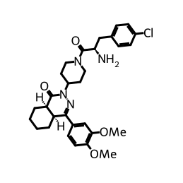 COc1ccc(C2=NN(C3CCN(C(=O)[C@H](N)Cc4ccc(Cl)cc4)CC3)C(=O)[C@@H]3CCCC[C@H]23)cc1OC